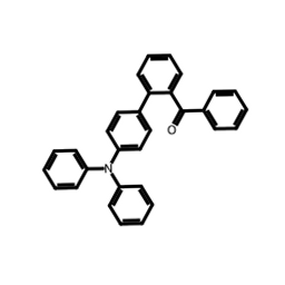 O=C(c1ccccc1)c1ccccc1-c1ccc(N(c2ccccc2)c2ccccc2)cc1